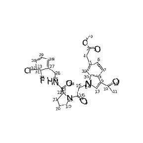 COC(=O)Cc1ccc2c(C(C)=O)cn(CC(=O)N3CCC[C@H]3C(=O)NCc3cccc(Cl)c3F)c2c1